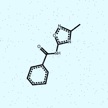 Cc1noc(NC(=O)c2ccccc2)n1